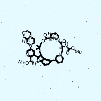 CCn1c(-c2cc(N3CCN4CCOC[C@@H]4C3)cnc2[C@H](C)OC)c2c3cc(ccc31)C1=CCCN(C1)C[C@H](NC(=O)OC(C)(C)C)C(=O)N1CCC[C@H](N1)C(=O)OCC(C)(C)C2